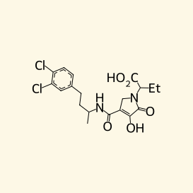 CCC(C(=O)O)N1CC(C(=O)NC(C)CCc2ccc(Cl)c(Cl)c2)=C(O)C1=O